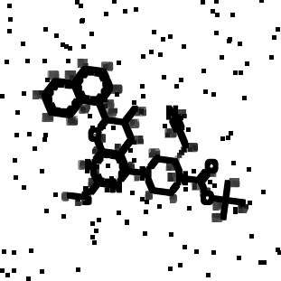 CSc1nc2c(c(N3CCN(C(=O)OC(C)(C)C)[C@@H](CC#N)C3)n1)CC(C)C(c1cccc3ccccc13)O2